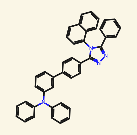 c1ccc(-c2nnc(-c3ccc(-c4cccc(N(c5ccccc5)c5ccccc5)c4)cc3)n2-c2cccc3ccccc23)cc1